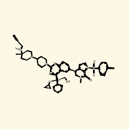 C#CCNC1(C)CCN(C2CCN(c3nc([C@@](CO)(OC4CC4)c4ccccc4)c4cc(-c5cn(C)c(=O)c6c5ccn6S(=O)(=O)c5ccc(C)cc5)ccc4n3)CC2)CC1